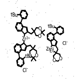 CC1(CC2=Cc3c(-c4ccccc4C(C)(C)C)cccc3[CH]2[Zr+2][CH]2C(CC3(C)COC(C)(C)OC3)=Cc3c(-c4ccccc4C(C)(C)C)cccc32)COC(C)(C)OC1.CCC1(CC2=Cc3c(-c4ccccc4C(C)(C)C)cccc3[CH]2[Zr+2])COCOC1.[Cl-].[Cl-]